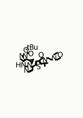 CC(C)(C)OC(=O)n1ncc(Nc2nccc(-c3cc4c(s3)C(C)(C)N(CCN3CCOCC3)C4=O)n2)c1C1CC1